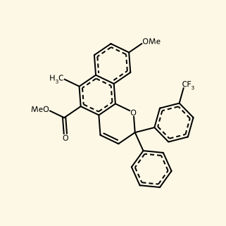 COC(=O)c1c2c(c3cc(OC)ccc3c1C)OC(c1ccccc1)(c1cccc(C(F)(F)F)c1)C=C2